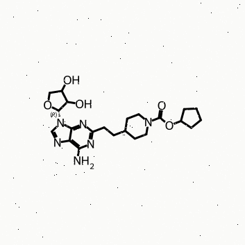 Nc1nc(CCC2CCN(C(=O)OC3CCCC3)CC2)nc2c1ncn2[C@@H]1OCC(O)C1O